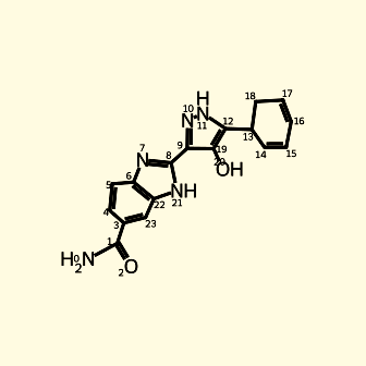 NC(=O)c1ccc2nc(-c3n[nH]c(C4C=CC=CC4)c3O)[nH]c2c1